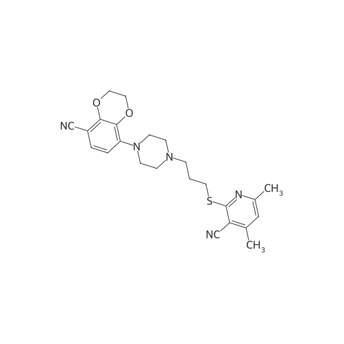 Cc1cc(C)c(C#N)c(SCCCN2CCN(c3ccc(C#N)c4c3OCCO4)CC2)n1